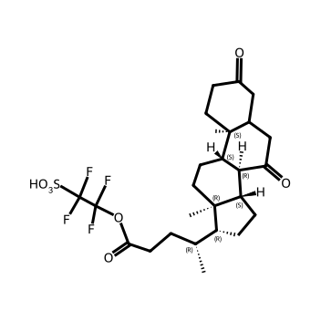 C[C@H](CCC(=O)OC(F)(F)C(F)(F)S(=O)(=O)O)[C@H]1CC[C@H]2[C@@H]3C(=O)CC4CC(=O)CC[C@]4(C)[C@H]3CC[C@]12C